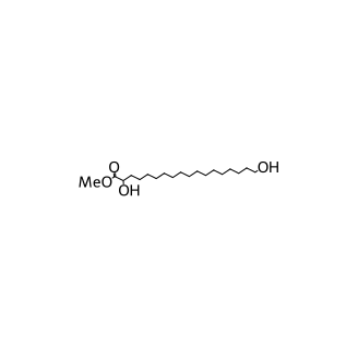 COC(=O)C(O)CCCCCCCCCCCCCCCCO